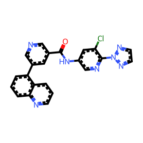 O=C(Nc1cnc(-n2nccn2)c(Cl)c1)c1cncc(-c2cccc3ncccc23)c1